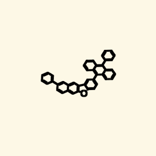 c1ccc(-c2ccc3cc4oc5ccc(-c6c7ccccc7c(-c7ccccc7)c7ccccc67)cc5c4cc3c2)cc1